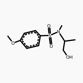 COc1ccc(S(=O)(=O)N(C)C(C)CO)cc1